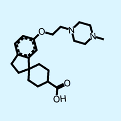 CN1CCN(CCOc2ccc3c(c2)C2(CC3)CCC(C(=O)O)CC2)CC1